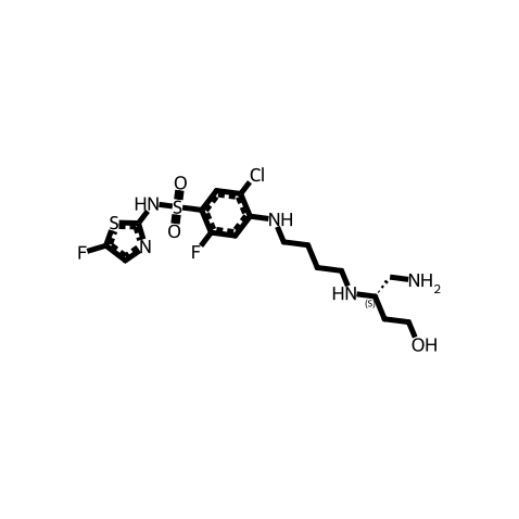 NC[C@H](CCO)NCCCCNc1cc(F)c(S(=O)(=O)Nc2ncc(F)s2)cc1Cl